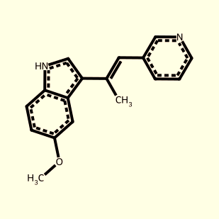 COc1ccc2[nH]cc(/C(C)=C/c3cccnc3)c2c1